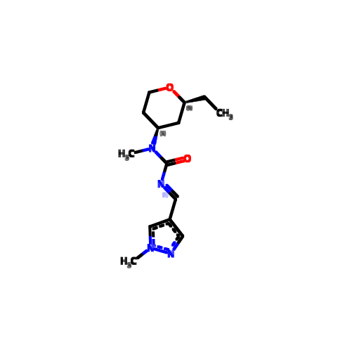 CC[C@H]1C[C@@H](N(C)C(=O)/N=C/c2cnn(C)c2)CCO1